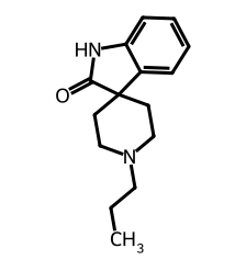 CCCN1CCC2(CC1)C(=O)Nc1ccccc12